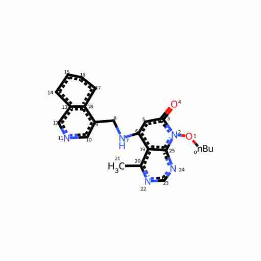 CCCCOn1c(=O)cc(NCc2cncc3ccccc23)c2c(C)ncnc21